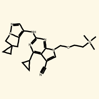 C[Si](C)(C)CCOCn1cc(C#N)c2c(C3CC3)nc(Nc3cnn4c3CC3(CC3)C4)nc21